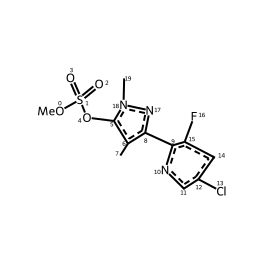 COS(=O)(=O)Oc1c(C)c(-c2ncc(Cl)cc2F)nn1C